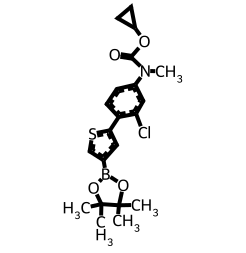 CN(C(=O)OC1CC1)c1ccc(-c2cc(B3OC(C)(C)C(C)(C)O3)cs2)c(Cl)c1